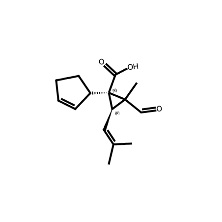 CC(C)=C[C@@H]1C(C)(C=O)[C@@]1(C(=O)O)C1C=CCC1